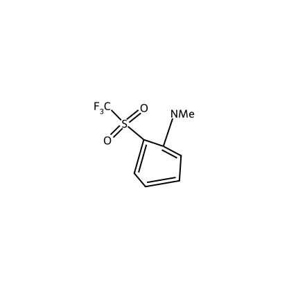 CNc1ccccc1S(=O)(=O)C(F)(F)F